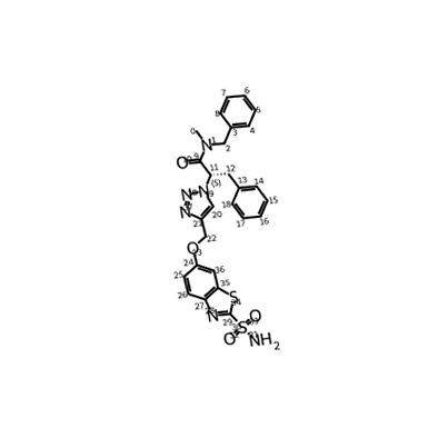 CN(Cc1ccccc1)C(=O)[C@H](Cc1ccccc1)n1cc(COc2ccc3nc(S(N)(=O)=O)sc3c2)nn1